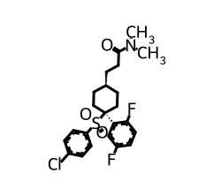 CN(C)C(=O)CC[C@H]1CC[C@@](c2cc(F)ccc2F)(S(=O)(=O)c2ccc(Cl)cc2)CC1